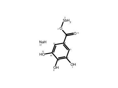 O=C([O][SbH2])c1cc(O)c(O)c(O)c1.[NaH]